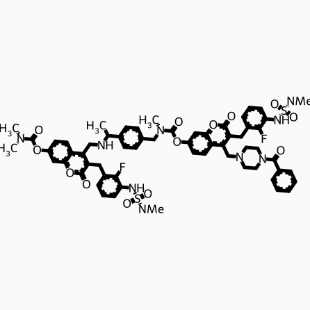 CNS(=O)(=O)Nc1cccc(Cc2c(CNC(C)c3ccc(CN(C)C(=O)Oc4ccc5c(CN6CCN(C(=O)c7ccccc7)CC6)c(Cc6cccc(NS(=O)(=O)NC)c6F)c(=O)oc5c4)cc3)c3ccc(OC(=O)N(C)C)cc3oc2=O)c1F